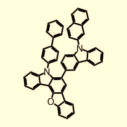 c1ccc(-c2ccc(-n3c4ccccc4c4c5oc6ccccc6c5cc(-c5ccc6c(c5)c5ccccc5n6-c5ccc6ccccc6c5)c43)cc2)cc1